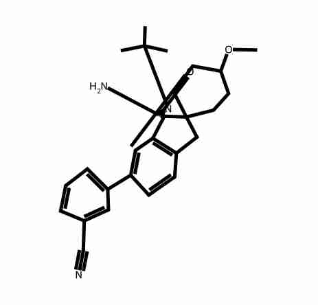 COC1CCC2(CC1)Cc1ccc(-c3cccc(C#N)c3)cc1C21N=C(N)N(C(C)(C)C)C1=O